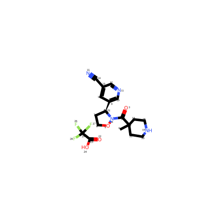 CC1(C(=O)N2OCC[C@H]2c2cncc(C#N)c2)CCNCC1.O=C(O)C(F)(F)F